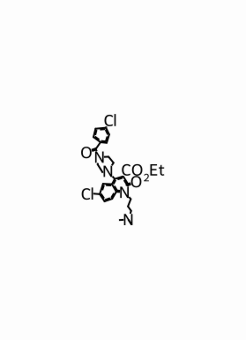 CCOC(=O)c1c(N2CCN(C(=O)c3ccc(Cl)cc3)CC2)c2cc(Cl)ccc2n(CCCN(C)C)c1=O